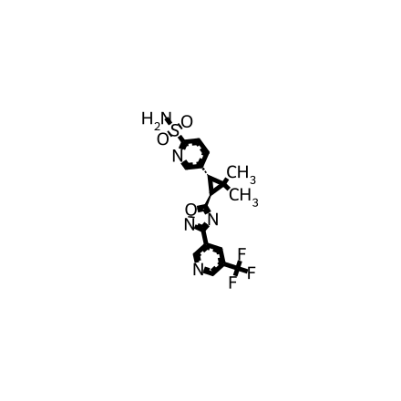 CC1(C)[C@@H](c2ccc(S(N)(=O)=O)nc2)[C@@H]1c1nc(-c2cncc(C(F)(F)F)c2)no1